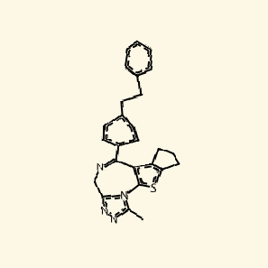 Cc1nnc2n1-c1sc3c(c1C(c1ccc(CCc4ccccc4)cc1)=NC2)CCC3